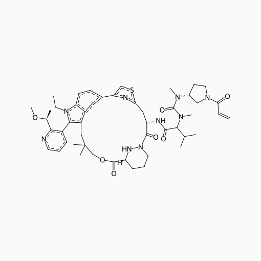 C=CC(=O)N1CC[C@@H](N(C)C(=O)N(C)C(C(=O)N[C@H]2Cc3nc(cs3)-c3ccc4c(c3)c(c(-c3cccnc3[C@H](C)OC)n4CC)CC(C)(C)COC(=O)[C@@H]3CCCN(N3)C2=O)C(C)C)C1